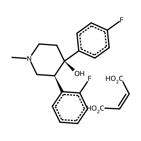 CN1CC[C@](O)(c2ccc(F)cc2)[C@@H](c2ccccc2F)C1.O=C(O)/C=C\C(=O)O